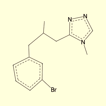 CC(Cc1cccc(Br)c1)Cc1nncn1C